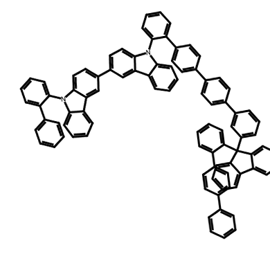 c1ccc(-c2ccc(-c3ccccc3C3(c4cccc(-c5ccc(-c6ccc(-c7ccccc7-n7c8ccccc8c8cc(-c9ccc%10c(c9)c9ccccc9n%10-c9ccccc9-c9ccccc9)ccc87)cc6)cc5)c4)c4ccccc4-c4ccccc43)cc2)cc1